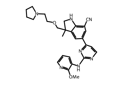 COc1ncccc1Nc1nccc(-c2cc(C#N)c3c(c2)C(C)(COCCN2CCCC2)CN3)n1